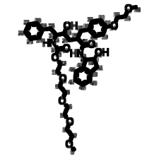 COCCOCCOCCOCCOC(=O)NC(Cc1ccccc1)C(O)CC(Cc1ccc(OCCOC)cc1)C(=O)N[C@H]1c2ccccc2C[C@@H]1O